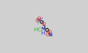 CNC(CCOc1ccc([N+](=O)[O-])c(F)c1)c1ccc(OC(=O)N(C)C)cc1.Cl